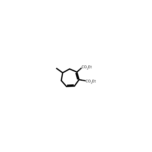 CCOC(=O)C1=C(C(=O)OCC)CC(C)CC=C1